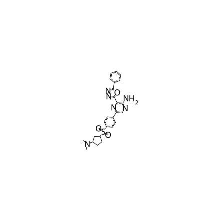 CN(C)[C@@H]1CCC(S(=O)(=O)c2ccc(-c3cnc(N)c(-c4nnc(-c5ccccc5)o4)n3)cc2)C1